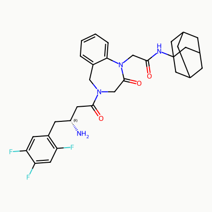 N[C@@H](CC(=O)N1CC(=O)N(CC(=O)NC23CC4CC(CC(C4)C2)C3)c2ccccc2C1)Cc1cc(F)c(F)cc1F